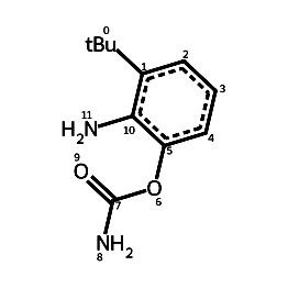 CC(C)(C)c1cccc(OC(N)=O)c1N